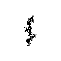 CC(=O)c1nn(CC(=O)N2C[C@H](F)C[C@H]2C(=O)Nc2cccc(Br)n2)c2ccc(-c3cnn(-c4ncc(F)cn4)c3)cc12